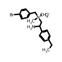 CCc1ccc(C(N)C[N+](C)(C)Cc2ccc(Br)cc2)cc1.[Cl-]